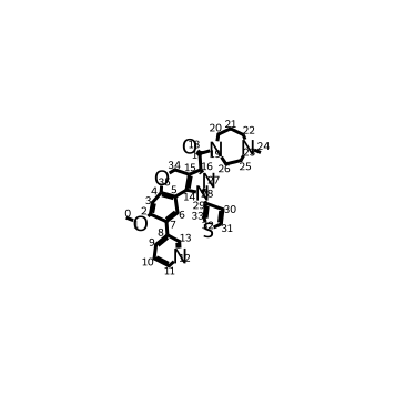 COc1cc2c(cc1-c1cccnc1)-c1c(c(C(=O)N3CCCN(C)CC3)nn1-c1ccsc1)CO2